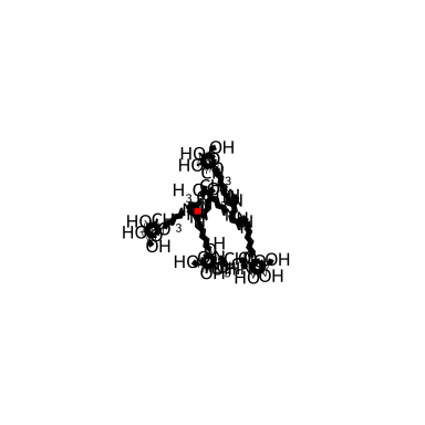 CC(=O)N[C@H]1[C@H](OCCCCCn2cc(CN(CCCCC(C(=O)C(C)(C)C)N(Cc3cn(CCCCCO[C@@H]4O[C@H](CO)[C@H](O)[C@H](O)[C@H]4C)nn3)Cc3cn(CCCCCO[C@@H]4O[C@H](CO)[C@H](O)[C@H](O)[C@H]4NC(C)=O)nn3)Cc3cn(CCCCCO[C@@H]4O[C@H](CO)[C@H](O)[C@H](O)[C@H]4C)nn3)nn2)O[C@H](CO)[C@H](O)[C@@H]1O